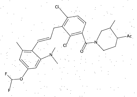 CC(=O)C1CCN(C(=O)c2ccc(Cl)c(C/C=C/c3c(C)cc(OC(F)F)cc3N(C)C)c2Cl)CC1C